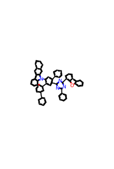 c1ccc(-c2cccc(-c3cc(-c4nc(-c5ccccc5)nc(-c5cccc6c5oc5ccccc56)n4)c(-c4ccccc4)cc3-n3c4ccccc4c4cc5ccccc5cc43)c2)cc1